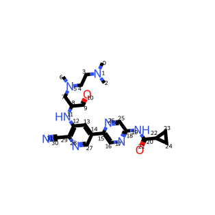 CN(C)CCN(C)CC(C=O)Nc1cc(-c2cnc(NC(=O)C3CC3)cn2)cnc1C#N